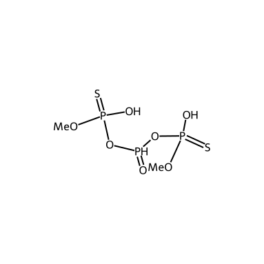 COP(O)(=S)O[PH](=O)OP(O)(=S)OC